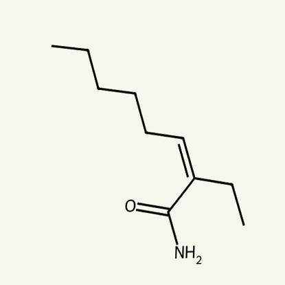 CCCCC/C=C(/CC)C(N)=O